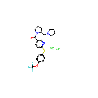 Cl.Cl.O=C(c1ccc(Sc2ccc(OC(F)(F)F)cc2)nc1)N1CCC[C@H]1CN1CCCC1